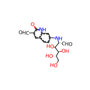 O=Cc1cc2ccc(N[C@H](C=O)[C@H](O)[C@@H](O)[C@@H](O)CO)cc2[nH]c1=O